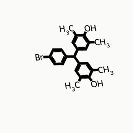 Cc1cc(C(c2ccc(Br)cc2)c2cc(C)c(O)c(C)c2)cc(C)c1O